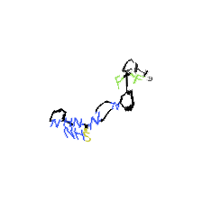 CC(F)(F)c1cccc(N2CCN(C(=S)NC(=N)c3ccccn3)CC2)c1